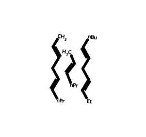 CC=CCC=CCCC.CC=CCCC.CCC=CCC=CCCCC